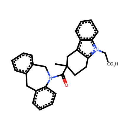 CC1(C(=O)N2Cc3ccccc3Cc3ccccc32)CCc2c(c3ccccc3n2CC(=O)O)C1